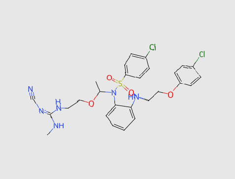 CN/C(=N/C#N)NCCOC(C)N(c1ccccc1NCCOc1ccc(Cl)cc1)S(=O)(=O)c1ccc(Cl)cc1